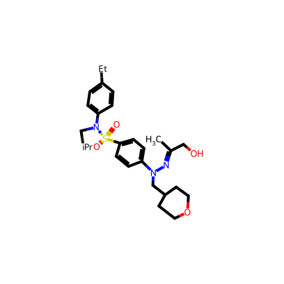 CCc1ccc(N(CC(C)C)S(=O)(=O)c2ccc(N(CC3CCOCC3)/N=C(\C)CO)cc2)cc1